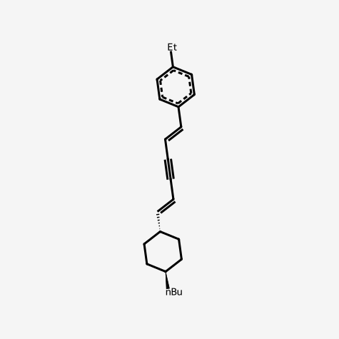 CCCC[C@H]1CC[C@H](C=CC#CC=Cc2ccc(CC)cc2)CC1